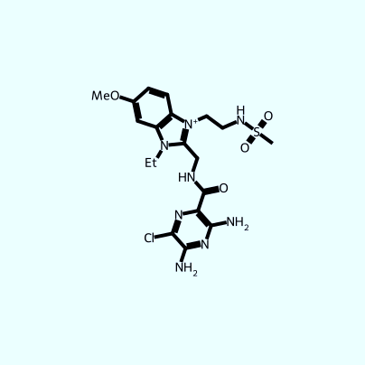 CCn1c(CNC(=O)c2nc(Cl)c(N)nc2N)[n+](CCNS(C)(=O)=O)c2ccc(OC)cc21